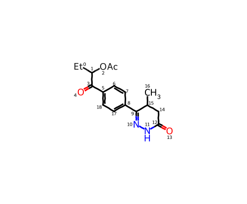 CCC(OC(C)=O)C(=O)c1ccc(C2=NNC(=O)CC2C)cc1